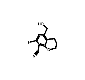 N#Cc1c(F)cc(CO)c2c1OCCC2